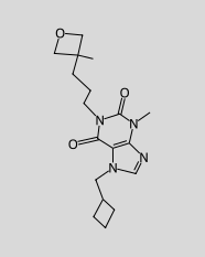 Cn1c(=O)n(CCCC2(C)COC2)c(=O)c2c1ncn2CC1CCC1